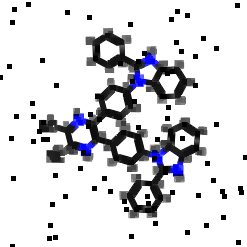 N#Cc1nc(-c2ccc(-n3c(-c4ccccc4)nc4ccccc43)cc2)c(-c2ccc(-n3c(-c4ccccc4)nc4ccccc43)cc2)nc1C#N